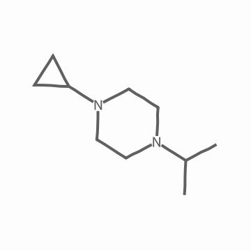 CC(C)N1CCN(C2CC2)CC1